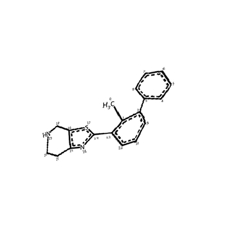 Cc1c(-c2ccccc2)cccc1-c1nc2c(s1)CNCC2